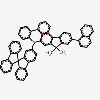 CC1(C)c2cc(-c3cccc4ccccc34)ccc2-c2ccc(N(c3ccc4c(c3)C3(c5ccccc5-c5ccccc53)c3ccccc3-4)c3ccccc3-c3ccccc3)cc21